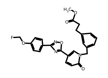 COC(=O)CCc1cccc(Cn2cc(-c3nc(-c4ccc(OCF)cc4)no3)ccc2=O)c1